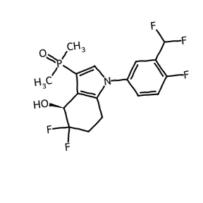 CP(C)(=O)c1cn(-c2ccc(F)c(C(F)F)c2)c2c1[C@H](O)C(F)(F)CC2